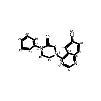 O=C1CN(c2ncnc3ccc(Cl)cc23)CCN1c1ccccc1